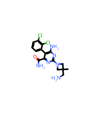 CC1(CN)CN(c2nc(N)c(-c3cccc(Cl)c3Cl)c(C(N)=O)n2)C1